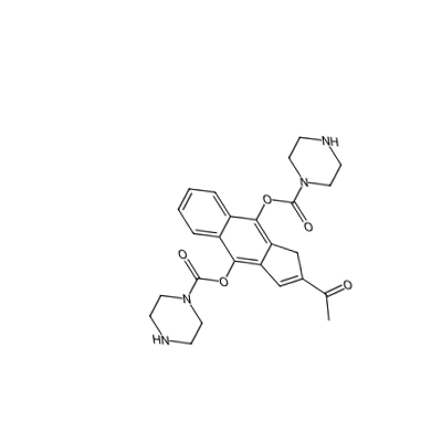 CC(=O)C1=Cc2c(c(OC(=O)N3CCNCC3)c3ccccc3c2OC(=O)N2CCNCC2)C1